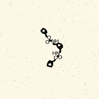 O=C(NCC1CC2CC(CNC(=O)OCC3CC4CCC3C4)C1C2)OCC1CC2CCC1C2